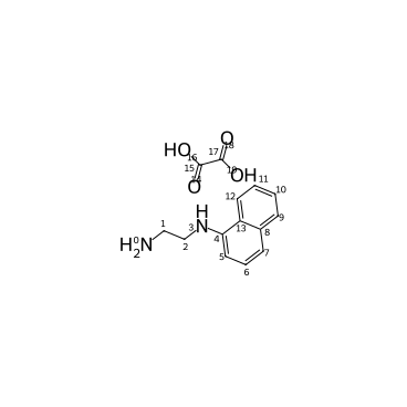 NCCNc1cccc2ccccc12.O=C(O)C(=O)O